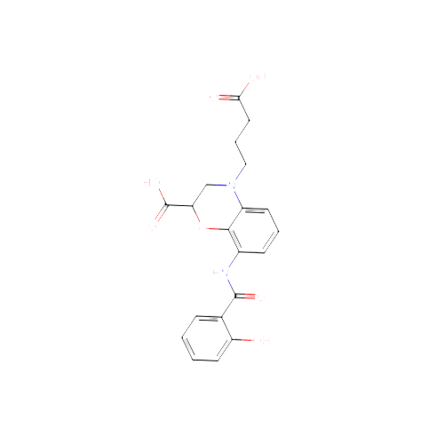 O=C(O)CCCN1CC(C(=O)O)Oc2c(NC(=O)c3ccccc3O)cccc21